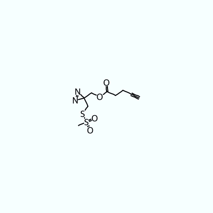 C#CCCC(=O)OCC1(CSS(C)(=O)=O)N=N1